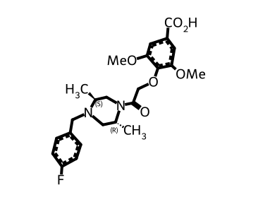 COc1cc(C(=O)O)cc(OC)c1OCC(=O)N1C[C@H](C)N(Cc2ccc(F)cc2)C[C@H]1C